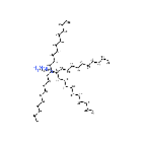 CCCCCCCCCCC(CCCCCCCCCC)=C(CCCCCCCCCC)CCCCCCCCCC.N.N